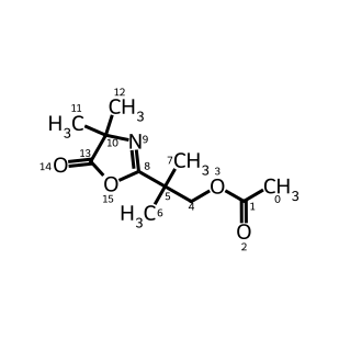 CC(=O)OCC(C)(C)C1=NC(C)(C)C(=O)O1